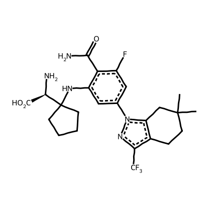 CC1(C)CCc2c(C(F)(F)F)nn(-c3cc(F)c(C(N)=O)c(NC4([C@H](N)C(=O)O)CCCC4)c3)c2C1